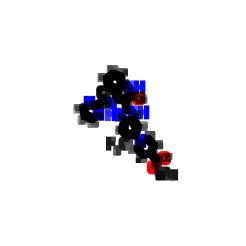 CC(Nc1c(-c2nc3cc(C(F)(F)F)c(N4CCC(C(=O)OC(C)(C)C)CC4)cc3[nH]2)c(=O)[nH]c2ccccc12)c1ncccn1